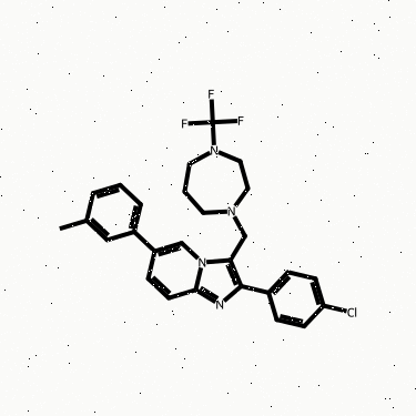 Cc1cccc(-c2ccc3nc(-c4ccc(Cl)cc4)c(CN4CCCN(C(F)(F)F)CC4)n3c2)c1